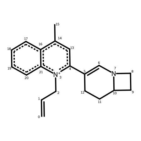 C=CC[n+]1c(C2=CN3CCC3CC2)cc(C)c2ccccc21